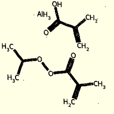 C=C(C)C(=O)O.C=C(C)C(=O)OOC(C)C.[AlH3]